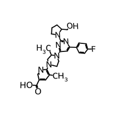 Cc1cc(C(=O)O)cnc1N1CCN(c2cc(-c3ccc(F)cc3)nc(N3CCCC3CO)n2)C(C)C1